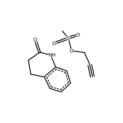 C#CCOS(C)(=O)=O.O=C1CCc2ccccc2N1